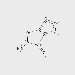 NC1Cc2ccsc2C1=O